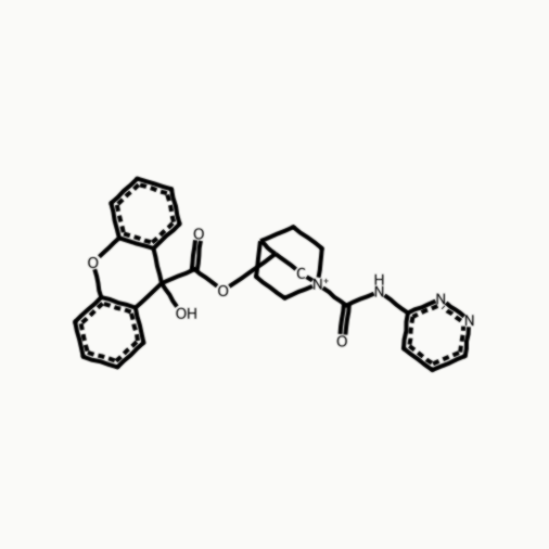 O=C(OC1C[N+]2(C(=O)Nc3cccnn3)CCC1CC2)C1(O)c2ccccc2Oc2ccccc21